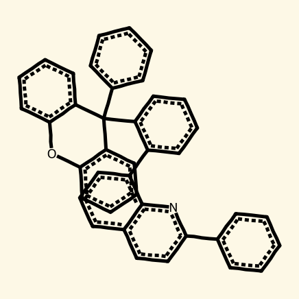 c1ccc(-c2ccc3cccc(-c4ccccc4C4(c5ccccc5)c5ccccc5Oc5ccccc54)c3n2)cc1